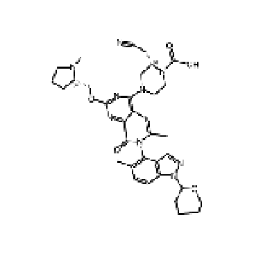 Cc1ccc2c(cnn2C2CCCCO2)c1-n1c(C)nc2c(N3CCN(C(=O)O)[C@@H](CC#N)C3)nc(OC[C@@H]3CCCN3C)nc2c1=O